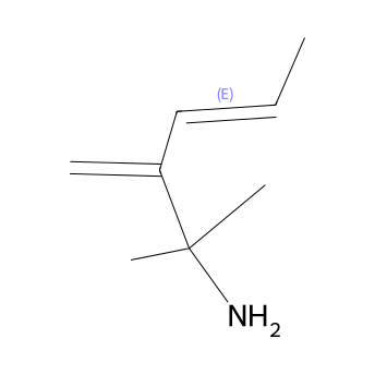 C=C(/C=C/C)C(C)(C)N